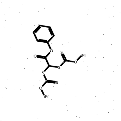 CC(C)OC(=S)SC(SC(=S)OC(C)C)C(=O)Oc1ccccc1